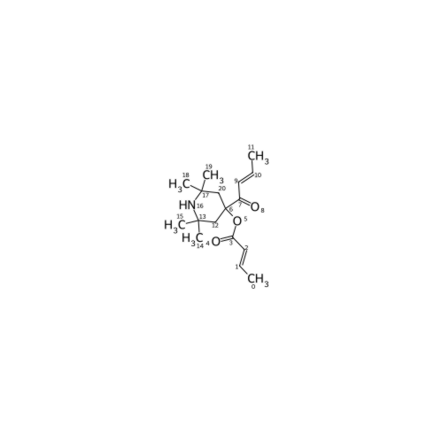 CC=CC(=O)OC1(C(=O)C=CC)CC(C)(C)NC(C)(C)C1